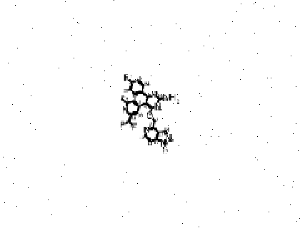 Cc1cc(-c2c(OCc3nccc4c3cnn4C)nc(N)nc2-c2ccc(F)cc2)cc(C(F)F)n1